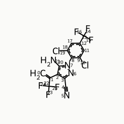 C=C(c1c(C#N)nn(-c2c(Cl)cc(C(F)(F)F)cc2Cl)c1N)C(F)(F)F